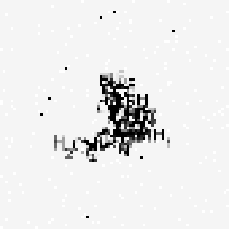 C=CC(=O)N1CCN(C2=C(C#N)C(O)N(c3c(C)ccnc3C(C)C)c3nc(-c4c(O)c(F)c(F)c(C(F)(F)F)c4F)c(Cl)cc32)CC1